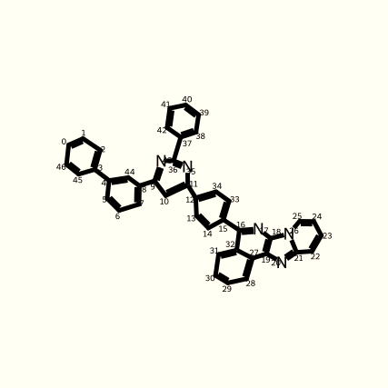 c1ccc(-c2cccc(-c3cc(-c4ccc(-c5nc6c(nc7ccccn76)c6ccccc56)cc4)nc(-c4ccccc4)n3)c2)cc1